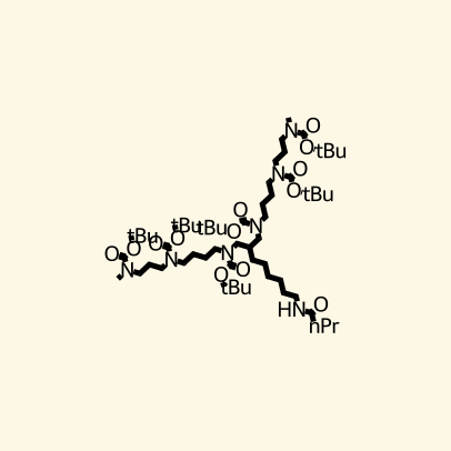 CCCC(=O)NCCCCCCC(CN(CCCCN(CCCN(C)C(=O)OC(C)(C)C)C(=O)OC(C)(C)C)C(=O)OC(C)(C)C)CN(CCCCN(CCCN(C)C(=O)OC(C)(C)C)C(=O)OC(C)(C)C)C(=O)OC(C)(C)C